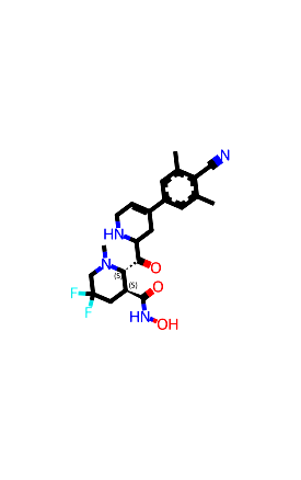 Cc1cc(C2=CCNC(C(=O)[C@@H]3[C@@H](C(=O)NO)CC(F)(F)CN3C)C2)cc(C)c1C#N